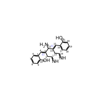 N=CC/C(=C\c1ccccc1O)C(N)/C(=C/c1ccccc1O)CC=N